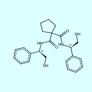 O=C(N[C@@H](CO)c1ccccc1)C1(C(=O)N[C@@H](CO)c2ccccc2)CCCC1